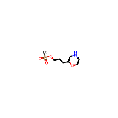 CCS(=O)(=O)OCCCC1CNCCO1